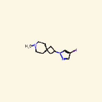 CN1CCC2(CC1)CC(n1cc(I)cn1)C2